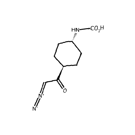 [N-]=[N+]=CC(=O)[C@H]1CC[C@H](NC(=O)O)CC1